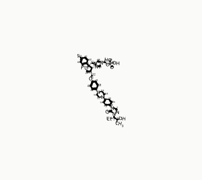 CC[C@@H]([C@H](C)O)n1ncn(-c2ccc(N3CCN(c4ccc(OC[C@@H]5CO[C@@](Cn6c[n+](COP(=O)(O)O)cn6)(c6ccc(F)cc6F)C5)cc4)CC3)cc2)c1=O